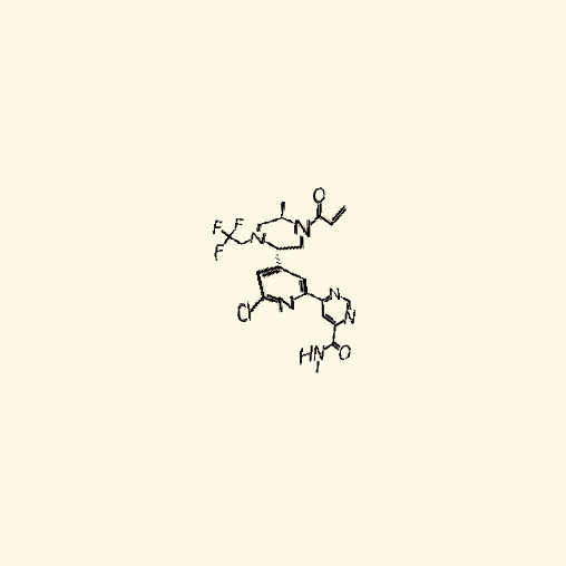 C=CC(=O)N1C[C@H](c2cc(Cl)nc(-c3cc(C(=O)NC)ncn3)c2)N(CC(F)(F)F)C[C@H]1C